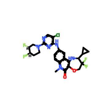 Cn1c(=O)c2c(c3cc(Nc4nc(N5CC[C@@H](F)[C@H](F)C5)ncc4Cl)ccc31)NC(C1CC1)C(F)(F)CO2